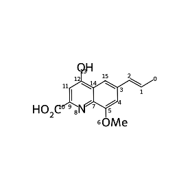 CC=Cc1cc(OC)c2nc(C(=O)O)cc(O)c2c1